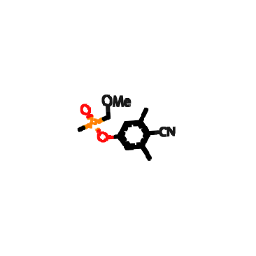 COCP(C)(=O)Oc1cc(C)c(C#N)c(C)c1